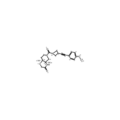 O=C1CO[C@H]2CCN(C(=O)N3CC(C#Cc4ccc(OC(F)(F)F)cc4)C3)C[C@H]2N1